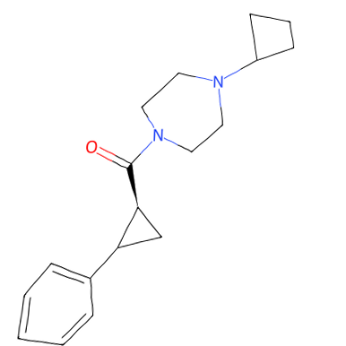 O=C([C@H]1CC1c1ccccc1)N1CCN(C2CCC2)CC1